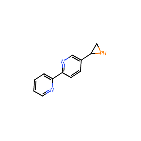 c1ccc(-c2ccc(C3CP3)cn2)nc1